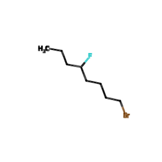 CCCC(F)CCCCBr